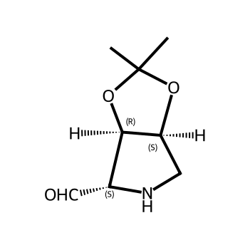 CC1(C)O[C@H]2[C@H](CN[C@@H]2C=O)O1